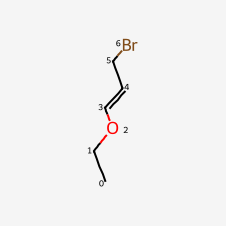 CCOC=CCBr